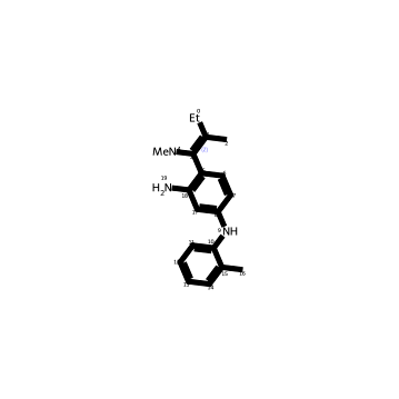 CC/C(C)=C(\NC)c1ccc(Nc2ccccc2C)cc1N